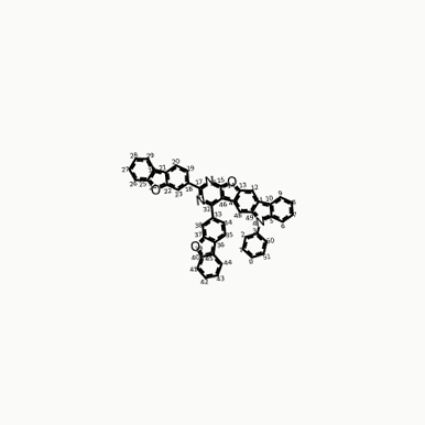 c1ccc(-n2c3ccccc3c3cc4oc5nc(-c6ccc7c(c6)oc6ccccc67)nc(-c6ccc7c(c6)oc6ccccc67)c5c4cc32)cc1